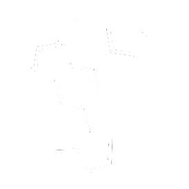 Cc1noc(C)c1-c1cc(-c2ccnn2C)cc2nc[nH]c12